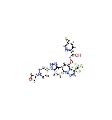 Cc1c(-c2cc(OCC(O)c3ccc(F)cn3)c3c(C(F)(F)F)cnn3c2)nnn1C1CCN(C2COC2)CC1